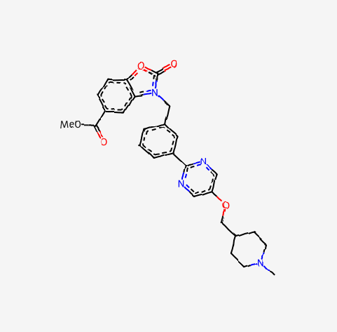 COC(=O)c1ccc2oc(=O)n(Cc3cccc(-c4ncc(OCC5CCN(C)CC5)cn4)c3)c2c1